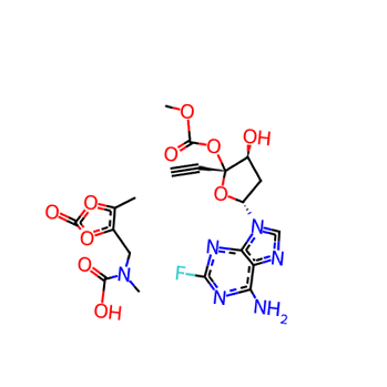 C#C[C@]1(OC(=O)OC)O[C@@H](n2cnc3c(N)nc(F)nc32)C[C@@H]1O.Cc1oc(=O)oc1CN(C)C(=O)O